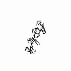 O=C(NCCc1c[nH]cn1)c1ccc2c(-c3c(-c4ccccn4)nn4c3CCC4)ccnc2c1